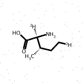 [2H]CC[C@H](C)[C@]([2H])(N)C(=O)O